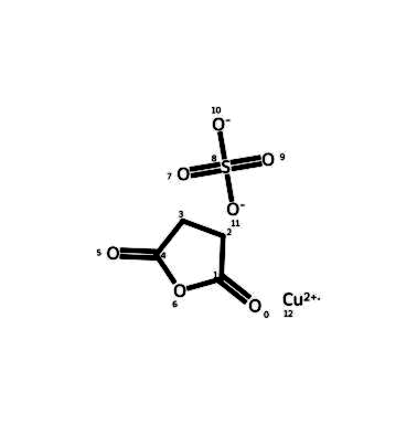 O=C1CCC(=O)O1.O=S(=O)([O-])[O-].[Cu+2]